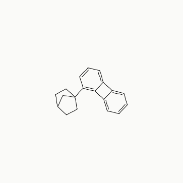 c1ccc2c(c1)-c1cccc(C34CCC(CC3)C4)c1-2